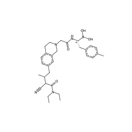 CCN(CC)C(=O)C(C#N)C(C)Cc1ccc2c(c1)CN(CC(=O)N[C@@H](Cc1ccc(C)cc1)B(O)O)CC2